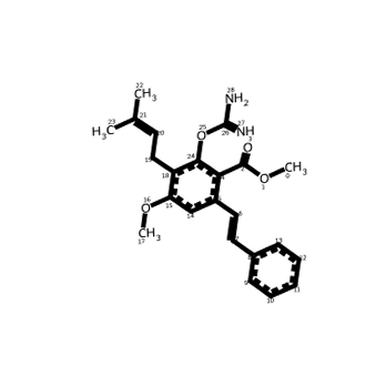 COC(=O)c1c(/C=C/c2ccccc2)cc(OC)c(CC=C(C)C)c1OC(=N)N